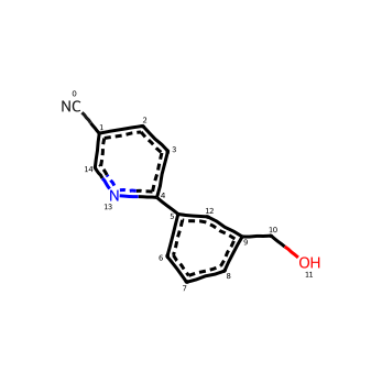 N#Cc1ccc(-c2cccc(CO)c2)nc1